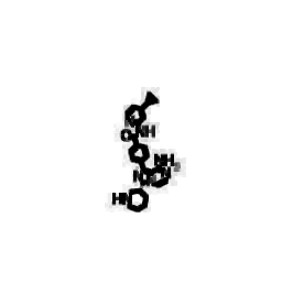 Nc1nccn2c([C@@H]3CCCCNC3)nc(-c3ccc(C(=O)Nc4cc(C5CC5)ccn4)cc3)c12